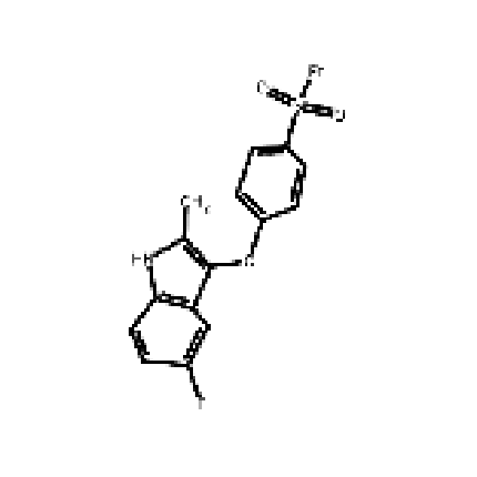 CCS(=O)(=O)c1ccc(Oc2c(C)[nH]c3ccc(F)cc23)cc1